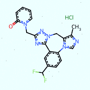 Cc1ncn2c1Cn1nc(Cn3ccccc3=O)nc1-c1cc(C(F)F)ccc1-2.Cl